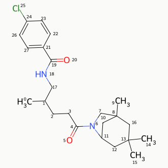 CC(CCC(=O)N1CC2(C)CC1CC(C)(C)C2)CNC(=O)c1ccc(Cl)cc1